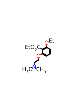 CCOC(=O)c1c(OCC)cccc1OCCN(C)C